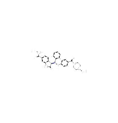 CCCNC(=O)c1ccc2c(c1)NC(=O)/C2=C(\Nc1ccc(C(=O)N2CCN(C)CC2)cc1)c1ccccc1